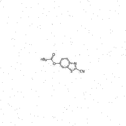 CCCCC(=O)Oc1ccc2nc(C#N)sc2c1